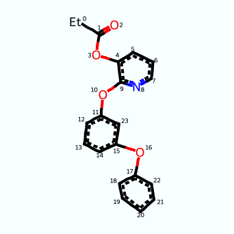 CCC(=O)Oc1cccnc1Oc1cccc(Oc2ccccc2)c1